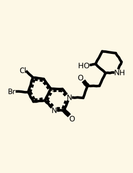 O=C(CC1NCCCC1O)Cn1cc2cc(Cl)c(Br)cc2nc1=O